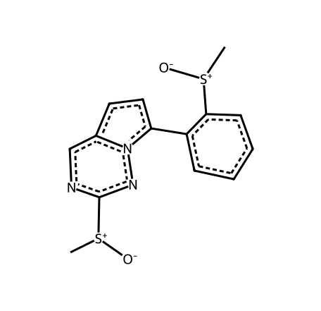 C[S+]([O-])c1ncc2ccc(-c3ccccc3[S+](C)[O-])n2n1